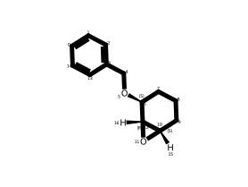 c1ccc(CO[C@H]2CCC[C@@H]3O[C@H]23)cc1